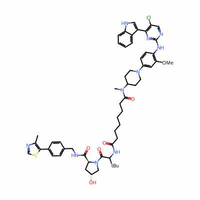 COc1cc(N2CCC(N(C)C(=O)CCCCCCC(=O)NC(C(=O)N3C[C@H](O)C[C@H]3C(=O)NCc3ccc(-c4scnc4C)cc3)C(C)(C)C)CC2)ccc1Nc1ncc(Cl)c(-c2c[nH]c3ccccc23)n1